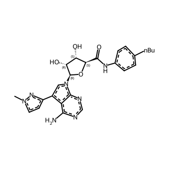 CCCCc1ccc(NC(=O)[C@H]2O[C@@H](n3cc(-c4ccn(C)n4)c4c(N)ncnc43)[C@H](O)[C@@H]2O)cc1